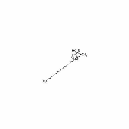 CCCCCCCCCCCCCCCCCC(=O)NN(CCC)C(=O)C(O)O